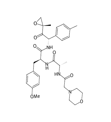 COc1ccc(C[C@H](NC(=O)[C@H](C)NC(=O)CN2CCOCC2)C(=O)N[C@H](C(=O)[C@@]2(C)CO2)c2ccc(C)cc2)cc1